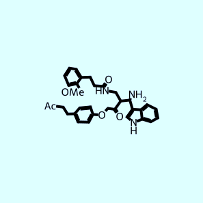 COc1ccccc1CCC(=O)NCC(C(=O)COc1ccc(CCC(C)=O)cc1)C(N)c1c[nH]c2ccccc12